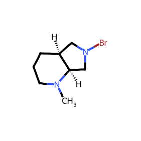 CN1CCC[C@H]2CN(Br)C[C@H]21